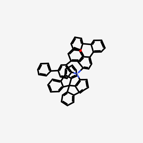 c1ccc(-c2ccc(N(c3ccc4c5ccccc5c5ccccc5c4c3)c3cccc4c3C3(c5ccccc5-c5ccccc53)c3ccccc3-4)c(-c3ccccc3)c2)cc1